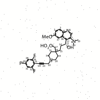 COc1ccc2ncc(N(C)C)c([C@H](O)CCC3(CC(=O)O)CCN(CC#Cc4c(F)cc(F)cc4F)CC3)c2c1